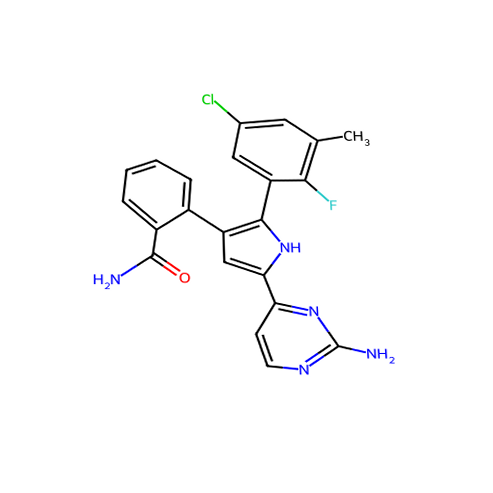 Cc1cc(Cl)cc(-c2[nH]c(-c3ccnc(N)n3)cc2-c2ccccc2C(N)=O)c1F